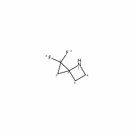 FC1(F)CC12CCN2